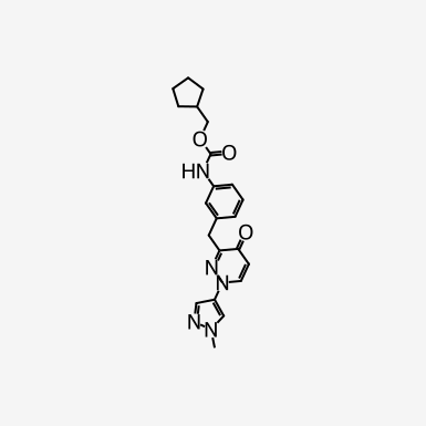 Cn1cc(-n2ccc(=O)c(Cc3cccc(NC(=O)OCC4CCCC4)c3)n2)cn1